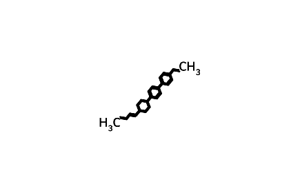 CCC/C=C/C1CCC(c2ccc(-c3ccc(CCC)cc3)cc2)CC1